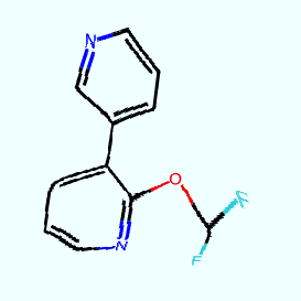 FC(F)Oc1ncccc1-c1cccnc1